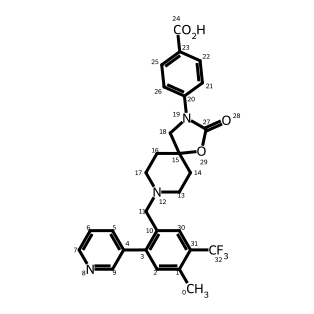 Cc1cc(-c2cccnc2)c(CN2CCC3(CC2)CN(c2ccc(C(=O)O)cc2)C(=O)O3)cc1C(F)(F)F